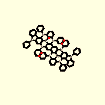 O=P12c3c4cccc3N(c3ccccc3)c3c1c(cc1c3c3ccccc3n1-c1ccccc1)N(c1ccccc1)c1cc3c5c6c(cc3c(c12)N4c1ccccc1)N(c1ccccc1)c1cc2c(c3c1P6(=O)c1c(cccc1N3c1ccccc1)N5c1ccccc1)c1ccccc1n2-c1ccccc1